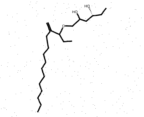 C=C(CCCCCCCCCCC)C(CC)OCC(O)C[C@H](O)CC